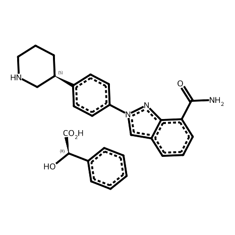 NC(=O)c1cccc2cn(-c3ccc([C@@H]4CCCNC4)cc3)nc12.O=C(O)[C@H](O)c1ccccc1